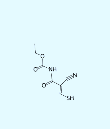 CCOC(=O)NC(=O)/C(C#N)=C/S